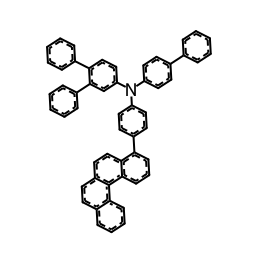 c1ccc(-c2ccc(N(c3ccc(-c4cccc5c4ccc4ccc6ccccc6c45)cc3)c3ccc(-c4ccccc4)c(-c4ccccc4)c3)cc2)cc1